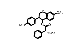 CO[C@@H](C(=O)OC1c2ccc(OC(C)=O)cc2OCC1c1ccc(OC(C)=O)cc1)c1ccccc1